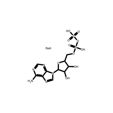 Nc1ncnc2c1ncn2C1OC(COP(=O)(O)OS(=O)(=O)O)C(O)C1O.[NaH]